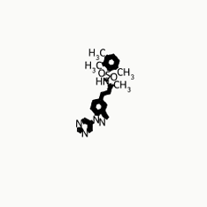 Cc1ccc(C)c(S(=O)(=O)N[C@@H](C)CCc2ccc3c(cnn3-c3cncnc3)c2)c1C